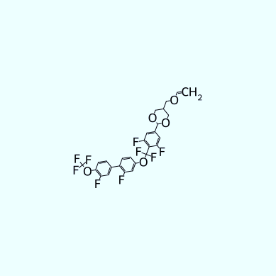 C=COCC1COC(c2cc(F)c(C(F)(F)Oc3ccc(-c4ccc(OC(F)(F)F)c(F)c4)c(F)c3)c(F)c2)OC1